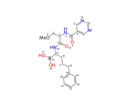 COCC(NC(=O)c1cncnc1)C(=O)NC(CCCc1ccccc1)B(O)O